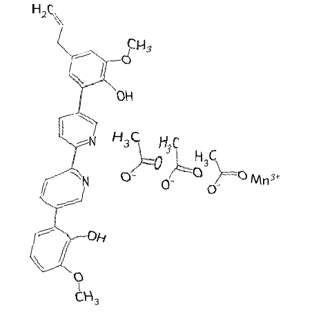 C=CCc1cc(OC)c(O)c(-c2ccc(-c3ccc(-c4cccc(OC)c4O)cn3)nc2)c1.CC(=O)[O-].CC(=O)[O-].CC(=O)[O-].[Mn+3]